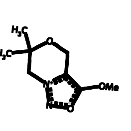 COc1on[n+]2c1COC(C)(C)C2